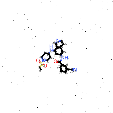 CCS(=O)(=O)N1CCC(Nc2cc(NC(=O)c3cccc(C#N)c3)cc3ccncc23)CC1